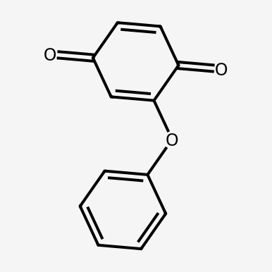 O=C1C=CC(=O)C(Oc2ccccc2)=C1